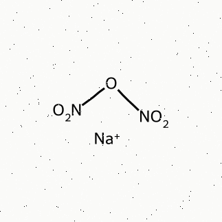 O=[N+]([O-])O[N+](=O)[O-].[Na+]